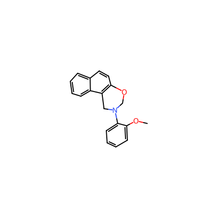 COc1ccccc1N1COc2ccc3ccccc3c2C1